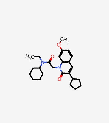 CCN(C(=O)Cn1c(=O)c(C2CCCC2)cc2ccc(OC)cc21)C1CCCCC1